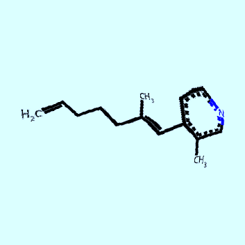 C=CCCC/C(C)=C/c1ccncc1C